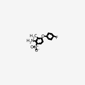 Cc1c(Oc2ccc(F)cc2)ccc([N+](=O)[O-])c1N